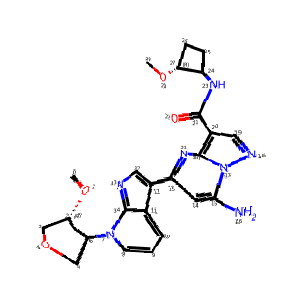 CO[C@H]1COCC1n1cccc2c(-c3cc(N)n4ncc(C(=O)NC5CC[C@H]5OC)c4n3)cnc1-2